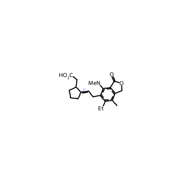 CCc1c(C)c2c(c(NC)c1C/C=C1\CCCC1CC(=O)O)C(=O)OC2